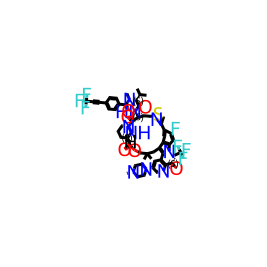 CO[C@@H](C)c1ncc(N2CCN(C)CC2)cc1-c1c2c3cc(c(F)cc3n1CC(F)(F)F)-c1csc(n1)C[C@H](NC(=O)[C@H](C(C)C)N(C)C(=O)c1ccc(C#CC(F)(F)F)cc1)C(=O)N1CCC[C@H](N1)C(=O)OCC(C)(C)C2